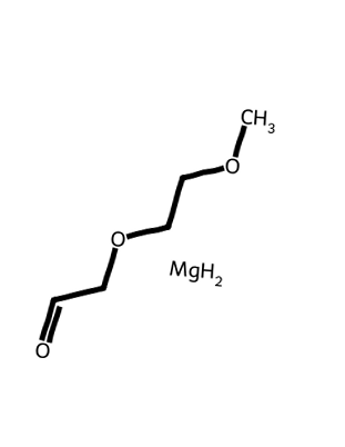 COCCOCC=O.[MgH2]